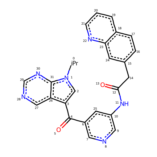 CC(C)n1cc(C(=O)c2cncc(NC(=O)Cc3ccc4cccnc4c3)c2)c2cncnc21